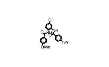 CCCc1ccc(C(=O)Nc2cc(O)ccc2NC(=O)c2ccc(OC)cc2)cc1